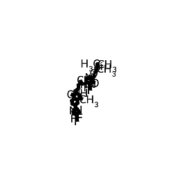 Cc1cn(CCCC(C)Nc2cnn(COCC[Si](C)(C)C)c(=O)c2C(F)(F)F)c(=O)c2ccc(-c3ncc(C(F)(F)F)cn3)cc12